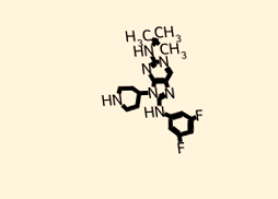 CC(C)(C)Nc1ncc2nc(Nc3cc(F)cc(F)c3)n(C3CCNCC3)c2n1